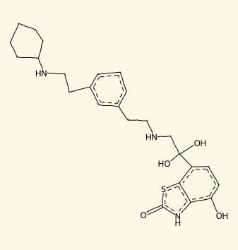 O=c1[nH]c2c(O)ccc(C(O)(O)CNCCc3cccc(CCNC4CCCCC4)c3)c2s1